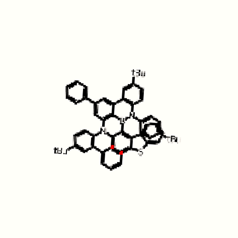 CC(C)(C)c1ccc(N2B3c4c(cc(-c5ccccc5)cc4N(c4ccc(C(C)(C)C)cc4-c4ccccc4)c4ccc5sc6ccccc6c5c43)-c3cc(C(C)(C)C)ccc32)cc1